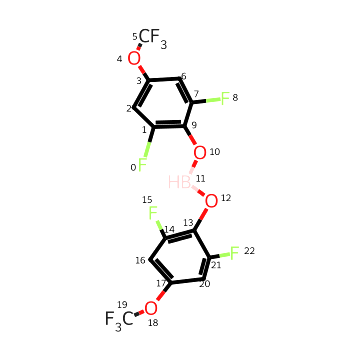 Fc1cc(OC(F)(F)F)cc(F)c1OBOc1c(F)cc(OC(F)(F)F)cc1F